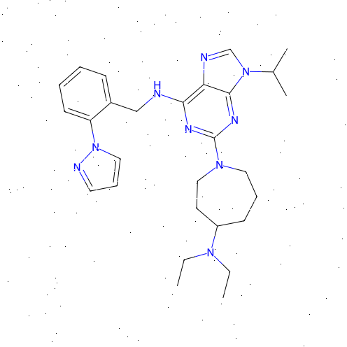 CCN(CC)C1CCCN(c2nc(NCc3ccccc3-n3cccn3)c3ncn(C(C)C)c3n2)CC1